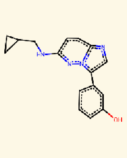 Oc1cccc(-c2cnc3ccc(NCC4CC4)nn23)c1